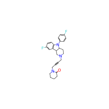 O=C1CCCCN1CC#CCN1CCC2C(C1)c1cc(F)ccc1N2c1ccc(F)cc1